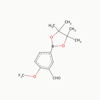 CC1(C)OB(c2ccc(OC(F)(F)F)c(C=O)c2)OC1(C)C